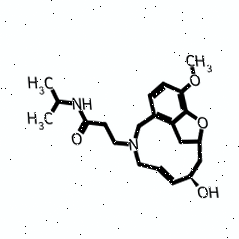 COc1ccc2c3c1OC(C3)C[C@@H](O)/C=C/CN(CCC(=O)NC(C)C)C2